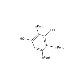 CCCCCc1cc(O)c(CCCCC)c(O)c1CCCCC